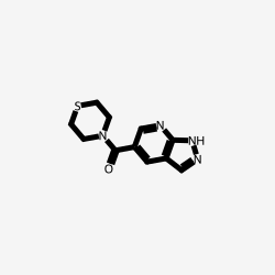 O=C(c1cnc2[nH]ncc2c1)N1CCSCC1